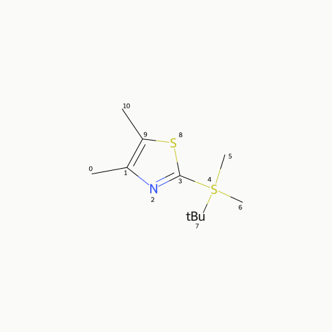 Cc1nc(S(C)(C)C(C)(C)C)sc1C